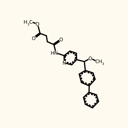 COC(=O)CCC(=O)Nc1ccc(C(OC)c2ccc(-c3ccccc3)cc2)cn1